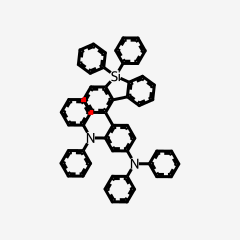 c1ccc(N(c2ccccc2)c2ccc(-c3cccc4c3-c3ccccc3[Si]4(c3ccccc3)c3ccccc3)c(N(c3ccccc3)c3ccccc3)c2)cc1